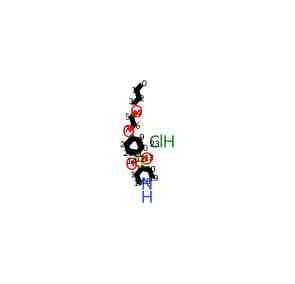 CCCCOCCOc1ccc(S(=O)(=O)C2CCNCC2)cc1.Cl